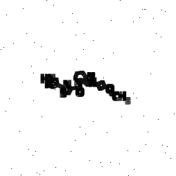 CCO[C@H]1C[C@@H](n2cc3c(n2)CCCN3C(=O)c2csc(-c3cn[nH]c3)n2)C1